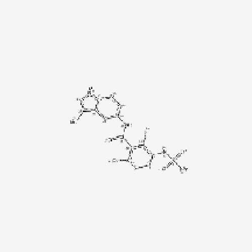 CCCS(=O)(=O)Nc1ccc(F)c(C(=O)Nc2cnc3[nH]nc(C#N)c3c2)c1F